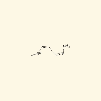 CN/C=C\C=N/N